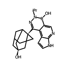 CC(C)N1N=C([C@@]23CC24CC2CC3C[C@@](O)(C2)C4)c2c(cnc3[nH]ccc23)B1O